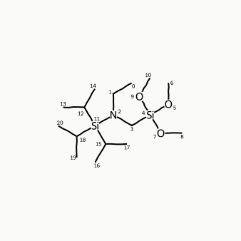 CCN(C[Si](OC)(OC)OC)[Si](C(C)C)(C(C)C)C(C)C